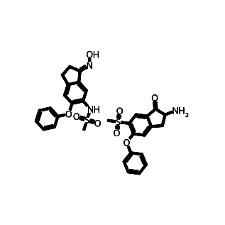 CS(=O)(=O)Nc1cc2c(cc1Oc1ccccc1)CCC2=NO.CS(=O)(=O)c1cc2c(cc1Oc1ccccc1)CC(N)C2=O